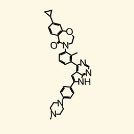 Cc1c(-c2ncnc3[nH]c(-c4ccc(N5CCN(C)CC5)cc4)cc23)cccc1N1CCOc2cc(C3CC3)ccc2C1=O